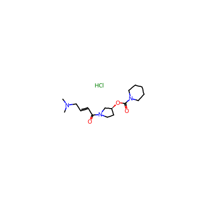 CN(C)C/C=C/C(=O)N1CC[C@H](OC(=O)N2CCCCC2)C1.Cl